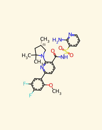 COc1cc(F)c(F)cc1-c1ccc(C(=O)NS(=O)(=O)c2cccnc2N)c(N2C[C@@H](C)CC2(C)C)n1